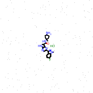 Cl.Cn1nc(-c2cnc3[nH]cc(C(=O)NC4(C)CCC(N)CC4)c3n2)c2ccc(F)cc21